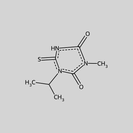 CC(C)n1c(=S)[nH]c(=O)n(C)c1=O